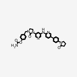 NC(=O)Oc1ccc(CN2CCN(c3cncc(Nc4ccc(-c5ccc(N6CCCC6=O)cc5)cn4)c3)C2=O)cc1